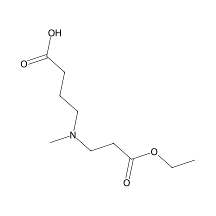 CCOC(=O)CCN(C)CCCC(=O)O